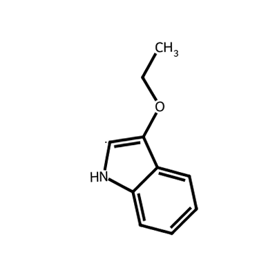 CCOc1[c][nH]c2ccccc12